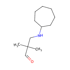 CC(C)(C=O)CNC1CCCCCC1